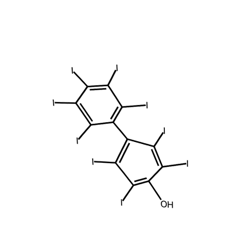 Oc1c(I)c(I)c(-c2c(I)c(I)c(I)c(I)c2I)c(I)c1I